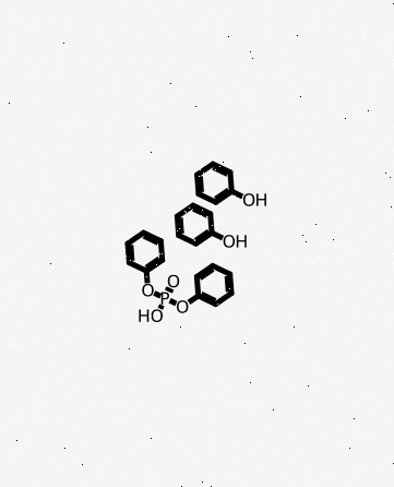 O=P(O)(Oc1ccccc1)Oc1ccccc1.Oc1ccccc1.Oc1ccccc1